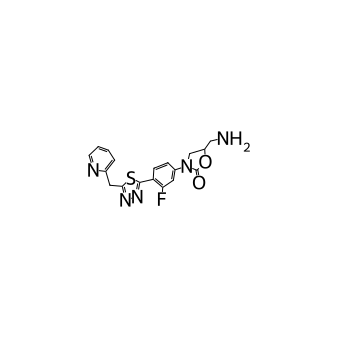 NCC1CN(c2ccc(-c3nnc(Cc4ccccn4)s3)c(F)c2)C(=O)O1